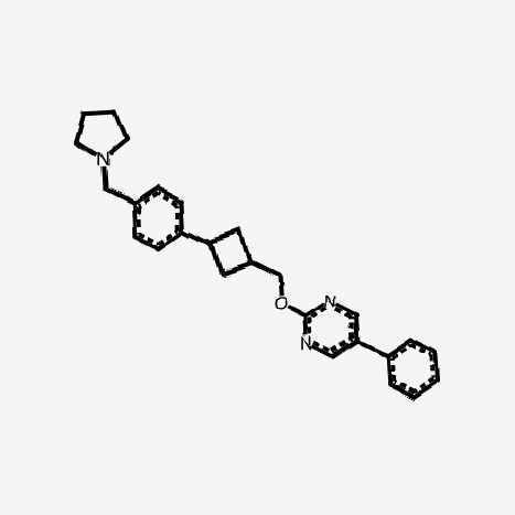 c1ccc(-c2cnc(OCC3CC(c4ccc(CN5CCCC5)cc4)C3)nc2)cc1